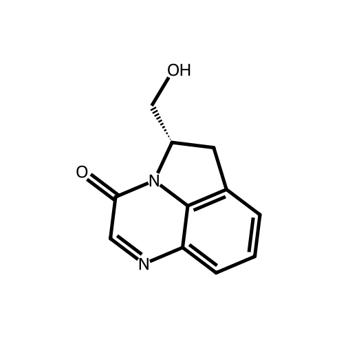 O=c1cnc2cccc3c2n1[C@H](CO)C3